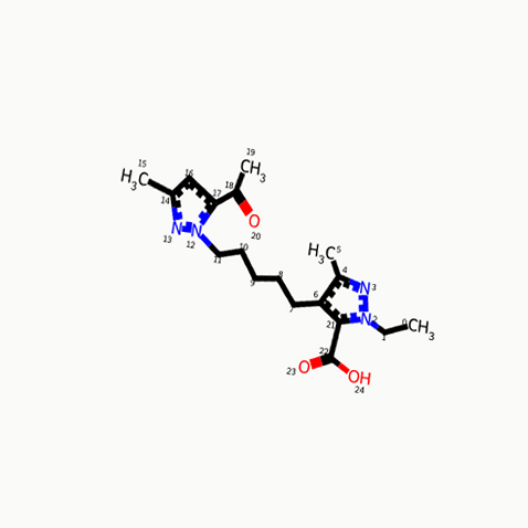 CCn1nc(C)c(CCCCCn2nc(C)cc2C(C)=O)c1C(=O)O